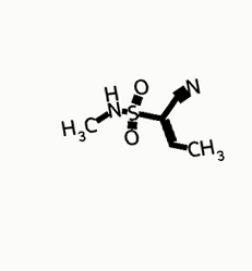 C/C=C(\C#N)S(=O)(=O)NC